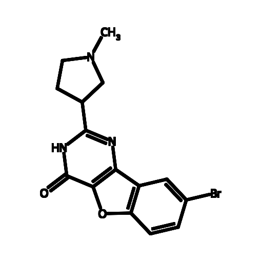 CN1CCC(c2nc3c(oc4ccc(Br)cc43)c(=O)[nH]2)C1